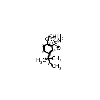 CCC(C)(C)c1ccc(OC)c(S(N)(=O)=O)c1